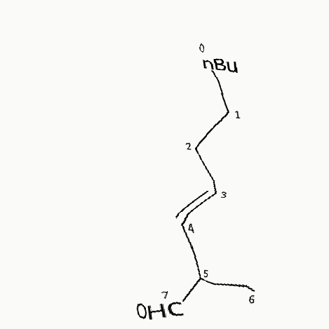 CCCCCCC=CC(C)C=O